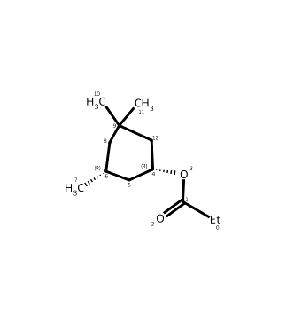 CCC(=O)O[C@@H]1C[C@H](C)CC(C)(C)C1